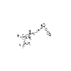 CC(C)CCOC(C)(C)CC(=O)NCCOCCOCCOc1ncccc1-c1ccc(-c2cnc3ccccc3n2)cc1